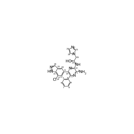 Nc1nc(-c2ccccc2)c(-c2cc(Cl)c3[nH]ncc3c2)nc1NC(O)Cn1ccnc1